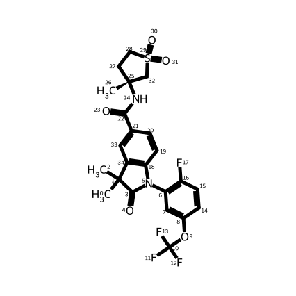 CC1(C)C(=O)N(c2cc(OC(F)(F)F)ccc2F)c2ccc(C(=O)N[C@]3(C)CCS(=O)(=O)C3)cc21